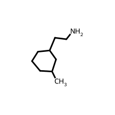 CC1CCCC(CCN)C1